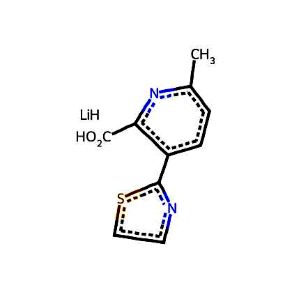 Cc1ccc(-c2nccs2)c(C(=O)O)n1.[LiH]